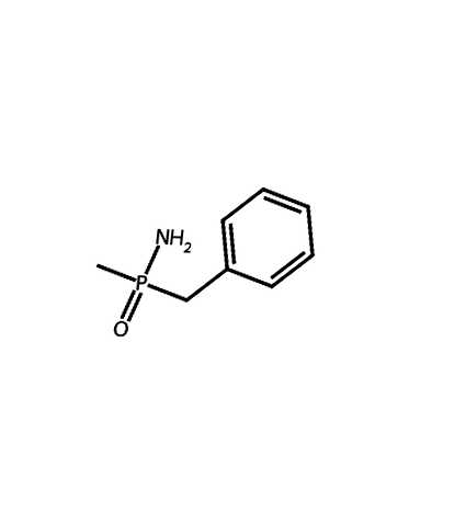 CP(N)(=O)Cc1ccccc1